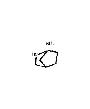 C1CC2CC1CN2.N